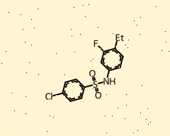 CCc1ccc(NS(=O)(=O)c2ccc(Cl)cc2)cc1F